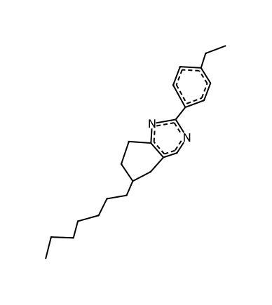 CCCCCCCC1CCc2nc(-c3ccc(CC)cc3)ncc2C1